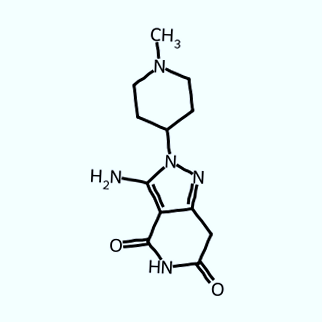 CN1CCC(n2nc3c(c2N)C(=O)NC(=O)C3)CC1